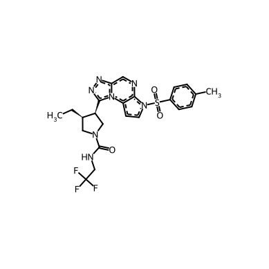 CC[C@@H]1CN(C(=O)NCC(F)(F)F)C[C@@H]1c1nnc2cnc3c(ccn3S(=O)(=O)c3ccc(C)cc3)n12